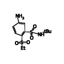 CCS(=O)(=O)c1ccc(N)cc1S(=O)(=O)NC(C)(C)C